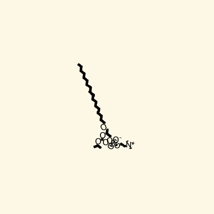 CCCCCCCCCCCCCCCCCCOCC(COP(=O)([O-])OCC[N+](C)(C)C)OC(=O)OC(C)C